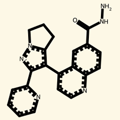 NNC(=O)c1ccc2nccc(-c3c(-c4ccccn4)nn4c3CCC4)c2c1